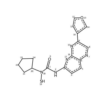 O=C(Nc1ccc2ncc(-c3ccoc3)nc2n1)N(S)C1CCCC1